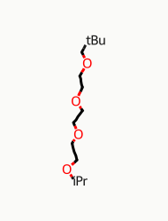 CC(C)OCCOCCOCCOCC(C)(C)C